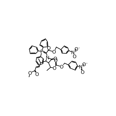 COC(=O)C=CC(C)C1C(C(C)OC(=O)OCc2ccc([N+](=O)[O-])cc2)C(=O)N1C(C(=O)OCc1ccc([N+](=O)[O-])cc1)=P(c1ccccc1)(c1ccccc1)c1ccccc1